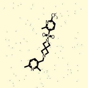 Cc1ccc(CN2CC3(C2)CN(S(=O)(=O)c2ccc(C(F)(F)F)nc2C)C3)c(C)n1